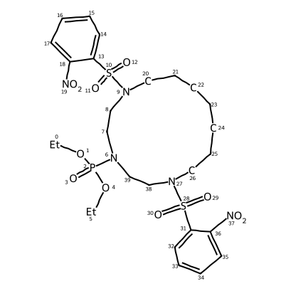 CCOP(=O)(OCC)N1CCN(S(=O)(=O)c2ccccc2[N+](=O)[O-])CCCCCCCN(S(=O)(=O)c2ccccc2[N+](=O)[O-])CC1